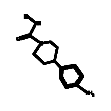 CCNC(=O)N1CCC(c2ccc(N)cc2)CC1